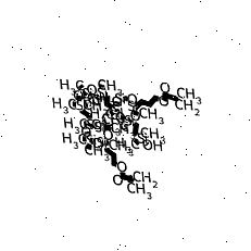 C=C(C)C(=O)OCCC[Si]1(C)O[Si](C)(C)O[Si](C)(CC[Si](C)(C)O[Si](C)(C)O[Si](C)(C)CC[Si]2(C)O[SiH2]O[Si](C)(CCCOC(=O)C(=C)C)O[Si](C)(CC[Si](C)(C)O)O2)O[Si](C)(C)O1